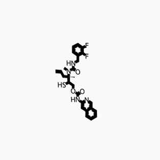 C=CC[C@](C)(C(S)COC(=O)Nc1cc2ccccc2cn1)N(C)C(=O)NCc1cccc(F)c1F